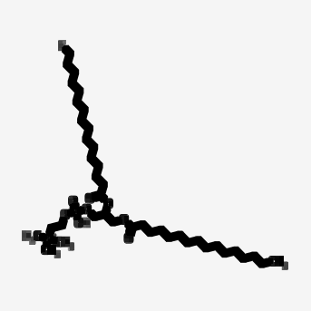 CCCCCCCCCCCCCCCC(=O)OCC(COP(=O)(O)OCC[N+](C)(C)C)OC(=O)CCCCCCCCCCCCCCCF